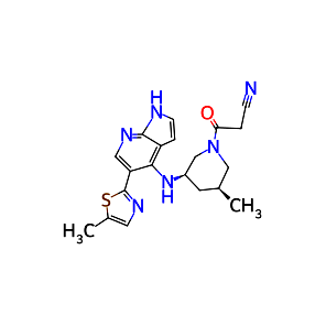 Cc1cnc(-c2cnc3[nH]ccc3c2N[C@@H]2C[C@H](C)CN(C(=O)CC#N)C2)s1